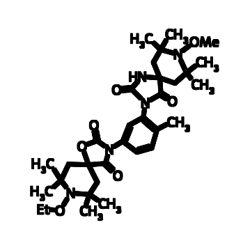 CCON1C(C)(C)CC2(CC1(C)C)OC(=O)N(c1ccc(C)c(N3C(=O)NC4(CC(C)(C)N(OC)C(C)(C)C4)C3=O)c1)C2=O